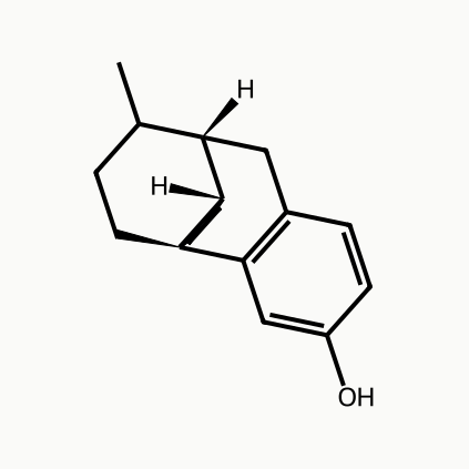 CC1CC[C@]23CCCC[C@H]2[C@H]1Cc1ccc(O)cc13